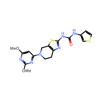 COc1cc(N2CCc3nc(NC(=O)Nc4ccsc4)sc3C2)nc(OC)n1